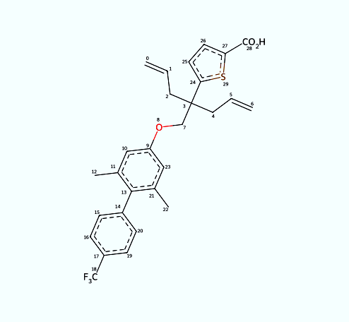 C=CCC(CC=C)(COc1cc(C)c(-c2ccc(C(F)(F)F)cc2)c(C)c1)c1ccc(C(=O)O)s1